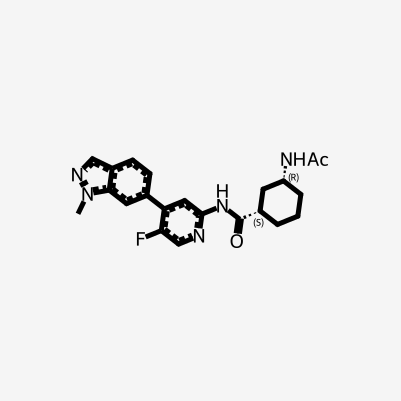 CC(=O)N[C@@H]1CCC[C@H](C(=O)Nc2cc(-c3ccc4cnn(C)c4c3)c(F)cn2)C1